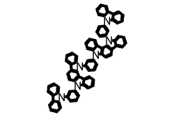 c1cc(-n2c3ccccc3c3ccccc32)cc(-n2c3ccccc3c3c2ccc2c4ccccc4n(-c4cccc(-n5c6ccccc6c6c5ccc5c7ccccc7n(-c7cccc(-n8c9ccccc9c9ccccc98)c7)c56)c4)c23)c1